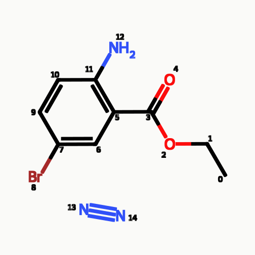 CCOC(=O)c1cc(Br)ccc1N.N#N